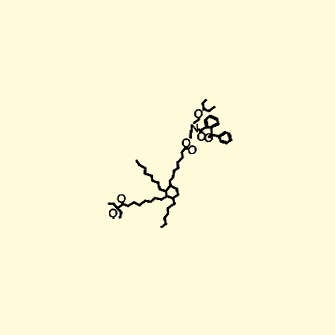 CCCCCCCCC1C(CCCCCCCC(=O)OCCN(CCOC(CC)CC)C(=O)c2ccccc2C(=O)c2ccccc2)CCC(CCCCCC)C1CCCCCCCC(=O)C(CC)(CC)OC